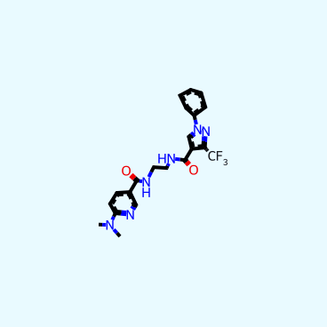 CN(C)c1ccc(C(=O)NCCNC(=O)c2cn(-c3ccccc3)nc2C(F)(F)F)cn1